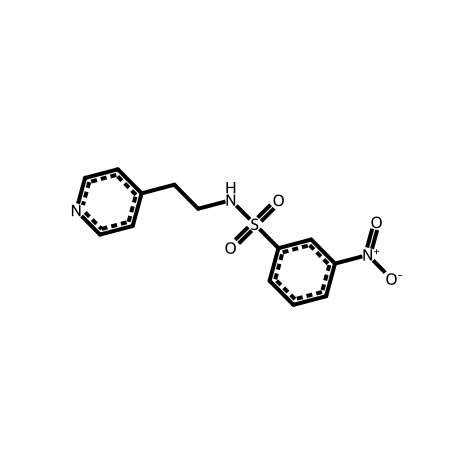 O=[N+]([O-])c1cccc(S(=O)(=O)NCCc2ccncc2)c1